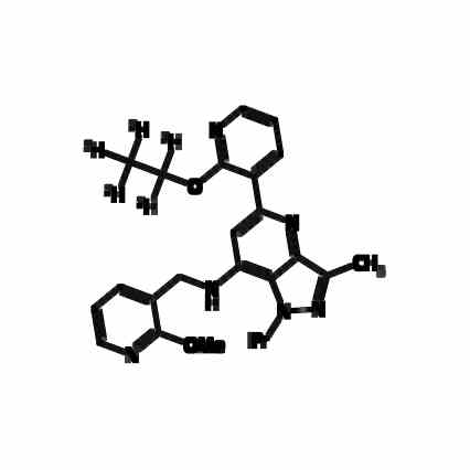 [2H]C([2H])([2H])C([2H])([2H])Oc1ncccc1-c1cc(NCc2cccnc2OC)c2c(n1)c(C)nn2C(C)C